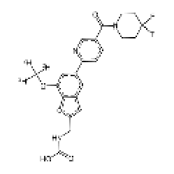 [2H]C([2H])([2H])Oc1cc(-c2ccc(C(=O)N3CCC(F)(F)CC3)cn2)cc2cc(CNC(=O)O)oc12